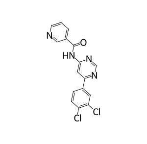 O=C(Nc1cc(-c2ccc(Cl)c(Cl)c2)ncn1)c1cccnc1